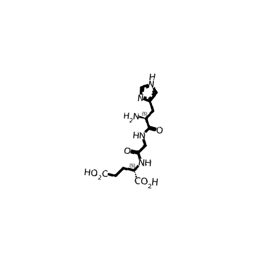 N[C@@H](Cc1c[nH]cn1)C(=O)NCC(=O)N[C@@H](CCC(=O)O)C(=O)O